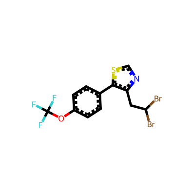 FC(F)(F)Oc1ccc(-c2scnc2CC(Br)Br)cc1